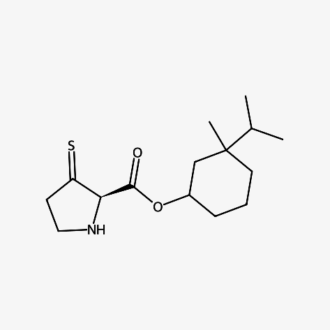 CC(C)C1(C)CCCC(OC(=O)[C@H]2NCCC2=S)C1